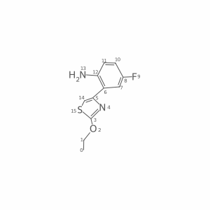 CCOc1nc(-c2cc(F)ccc2N)cs1